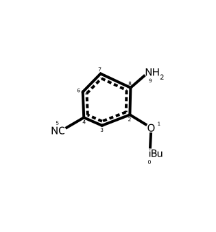 CCC(C)Oc1cc(C#N)ccc1N